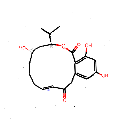 CC(C)[C@@H]1C[C@@H](O)CCC/C=C/C(=O)Cc2cc(O)cc(O)c2C(=O)O1